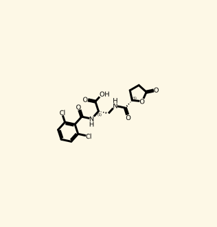 O=C1CC[C@@H](C(=O)NC[C@H](NC(=O)c2c(Cl)cccc2Cl)C(=O)O)O1